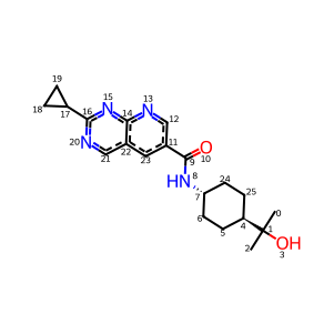 CC(C)(O)[C@H]1CC[C@H](NC(=O)c2cnc3nc(C4CC4)ncc3c2)CC1